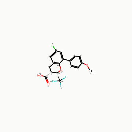 COc1ccc(-c2cc(Cl)cc3c2O[C@H](C(F)(F)F)[C@H](C(=O)O)C3)cc1